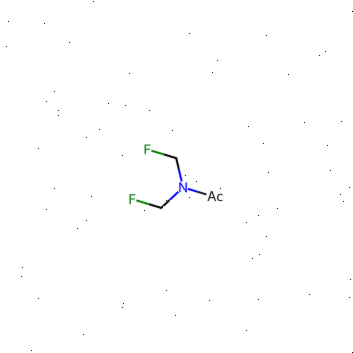 CC(=O)N(CF)CF